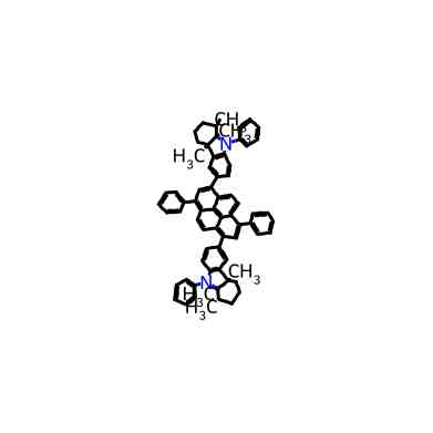 CC1CCCC2(C)c3cc(-c4cc(-c5ccccc5)c5ccc6c(-c7ccc8c(c7)C7(C)CCCC(C)C7(C)N8c7ccccc7)cc(-c7ccccc7)c7ccc4c5c76)ccc3N(c3ccccc3)C12C